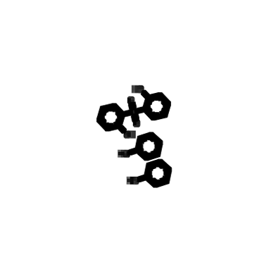 O=S(=O)(c1ccccc1O)c1ccccc1O.Oc1ccccc1.Oc1ccccc1